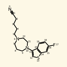 N#CCCCCN1CCCN(c2csc3cc(F)ccc23)CC1